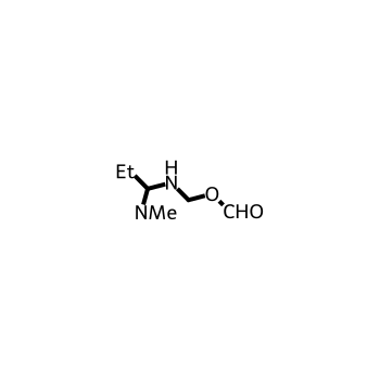 CCC(NC)NCOC=O